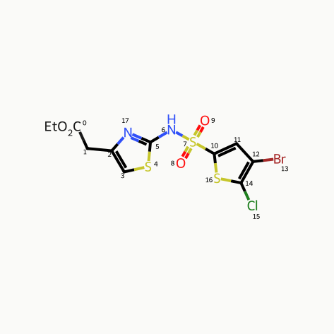 CCOC(=O)Cc1csc(NS(=O)(=O)c2cc(Br)c(Cl)s2)n1